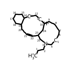 CCCN1CCCCCC[C@H]2CCCC3CCCCC3C/C=C\C(C2)C1